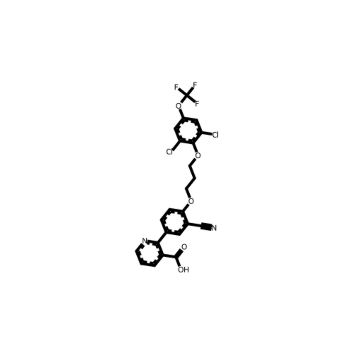 N#Cc1cc(-c2ncccc2C(=O)O)ccc1OCCCOc1c(Cl)cc(OC(F)(F)F)cc1Cl